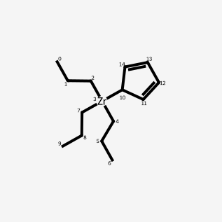 CC[CH2][Zr]([CH2]CC)([CH2]CC)[CH]1C=CC=C1